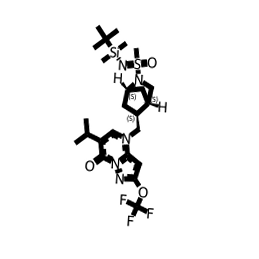 CC(C)c1cn(C[C@H]2C[C@H]3C[C@@H]2CN3S(C)(=O)=N[Si](C)(C)C(C)(C)C)c2cc(OC(F)(F)F)nn2c1=O